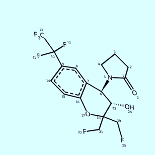 O=C1CCCN1[C@@H]1c2cc(C(F)(F)C(F)(F)F)ccc2OC(CF)(CF)[C@H]1O